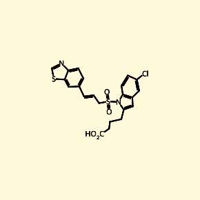 O=C(O)CCCc1cc2cc(Cl)ccc2n1S(=O)(=O)CC=Cc1ccc2ncsc2c1